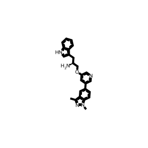 Cc1nn(C)c2ccc(-c3cncc(OC[C@@H](N)Cc4c[nH]c5ccccc45)c3)cc12